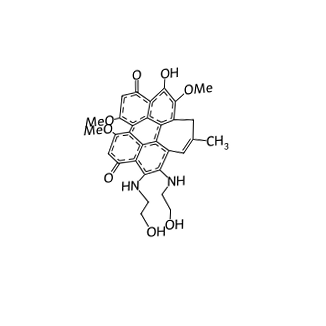 COc1c(O)c2c(=O)cc(OC)c3c4c(OC)cc(=O)c5c(NCCO)c(NCCO)c6c(c(c1CC(C)=C6)c23)c54